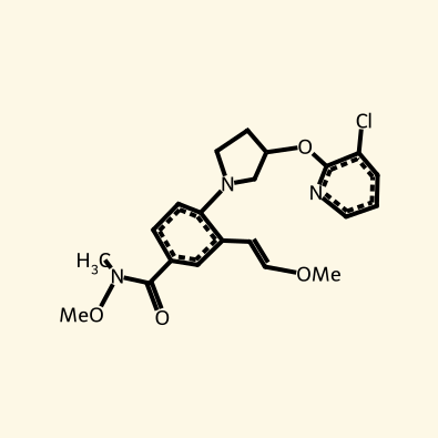 COC=Cc1cc(C(=O)N(C)OC)ccc1N1CCC(Oc2ncccc2Cl)C1